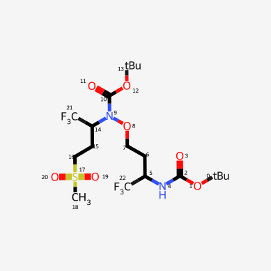 CC(C)(C)OC(=O)NC(CCON(C(=O)OC(C)(C)C)C(CCS(C)(=O)=O)C(F)(F)F)C(F)(F)F